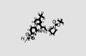 CC(C)(C)OC(=O)N1CCC[C@H](CCC(Nc2cccc(S(N)(=O)=O)n2)c2cc(C(C)(C)C)ccn2)C1